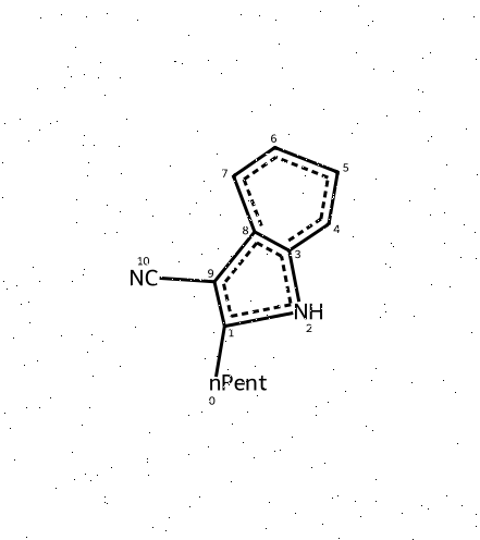 CCCCCc1[nH]c2ccccc2c1C#N